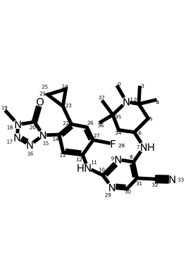 CN1C(C)(C)CC(Nc2nc(Nc3cc(-n4nnn(C)c4=O)c(C4CC4)cc3F)ncc2C#N)CC1(C)C